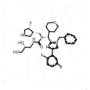 O=C(NC[C@@H](O)CO)N(C[C@@H]1CNC[C@@H]1F)[C@@H](c1nc(-c2cc(F)ccc2F)cn1Cc1ccccc1)C1CCOCC1